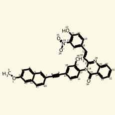 COc1ccc2cc(C#Cc3ccc(-n4c(C=Cc5ccc(O)c([N+](=O)[O-])c5)nc5ccccc5c4=O)c(C)c3)ccc2c1